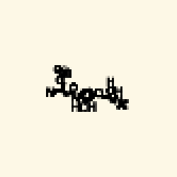 CC(C)(C)NCC(O)COc1ccc(NC(=O)CC(C#N)CO[N+](=O)[O-])cc1.Cl